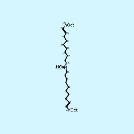 CCCCCCCCC=CCCCCCCCCN(O)CCCCCCCCC=CCCCCCCCC